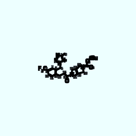 Cc1nnn(Cc2cc(C(F)(F)F)ccc2CCC(=O)N2CC3=C(C2)CN(C(=O)OC(C)(C)C)C3)n1